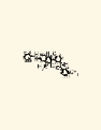 Cc1ccc(NC(=O)c2cccc(C(F)(F)F)c2)cc1-c1cc2cnc(NCc3ccccn3)cc2n(C)c1=O